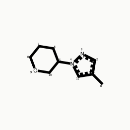 Cc1cnn(C2CCCOC2)c1